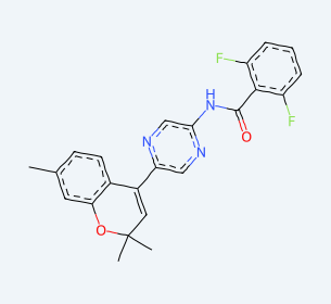 Cc1ccc2c(c1)OC(C)(C)C=C2c1cnc(NC(=O)c2c(F)cccc2F)cn1